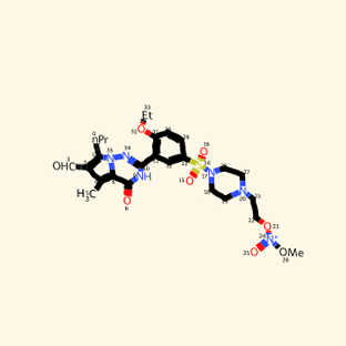 CCCc1c(C=O)c(C)c2c(=O)[nH]c(-c3cc(S(=O)(=O)N4CCN(CCO[N+](=O)OC)CC4)ccc3OCC)nn12